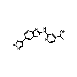 CC(O)c1ccnc(Nc2nc3ccc(-c4cn[nH]c4)cc3s2)c1